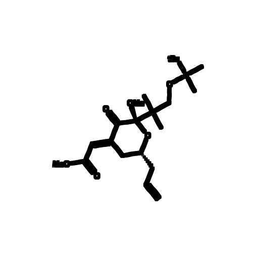 C=CC[C@@H]1C/C(=C\C(=O)OC)C(=O)[C@](OC)(C(C)(C)CO[Si](C)(C)C(C)(C)C)O1